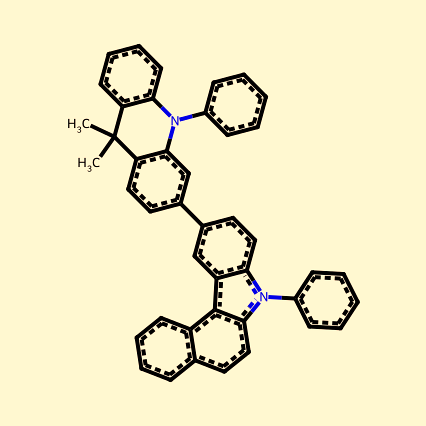 CC1(C)c2ccccc2N(c2ccccc2)c2cc(-c3ccc4c(c3)c3c5ccccc5ccc3n4-c3ccccc3)ccc21